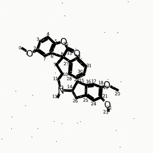 COc1ccc2c(c1)C(CCCN(C)C1Cc3cc(OC)c(OC)cc3C1)(c1ccccc1)C(=O)O2